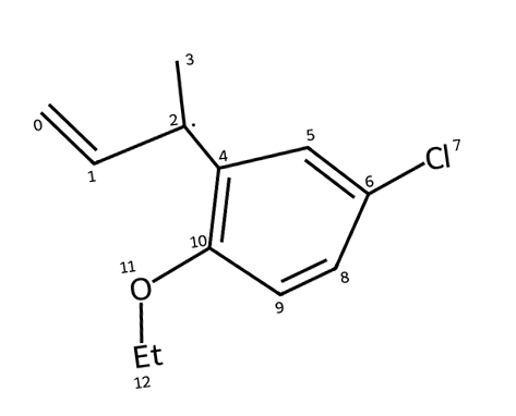 C=C[C](C)c1cc(Cl)ccc1OCC